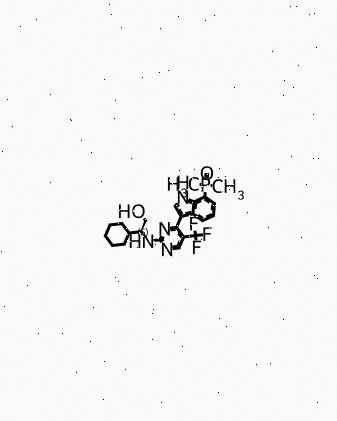 CP(C)(=O)c1cccc2c(-c3nc(N[C@H](CO)C4CCCCC4)ncc3C(F)(F)F)c[nH]c12